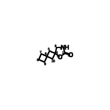 O=C1NCC2(CC3(CCC3)C2)O1